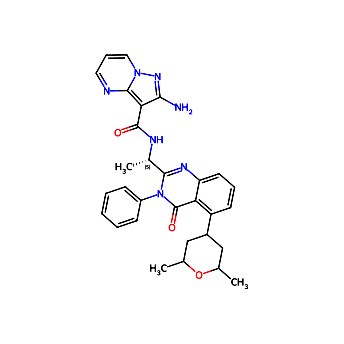 CC1CC(c2cccc3nc([C@H](C)NC(=O)c4c(N)nn5cccnc45)n(-c4ccccc4)c(=O)c23)CC(C)O1